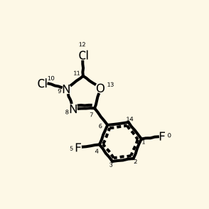 Fc1ccc(F)c(C2=NN(Cl)C(Cl)O2)c1